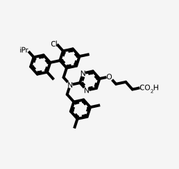 Cc1cc(C)cc(CN(Cc2cc(C)cc(Cl)c2-c2cc(C(C)C)ccc2C)c2ncc(OCCCC(=O)O)cn2)c1